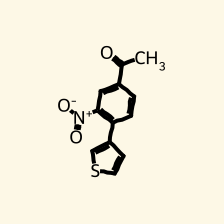 CC(=O)c1ccc(-c2ccsc2)c([N+](=O)[O-])c1